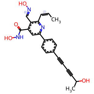 C/C=C\c1nc(-c2ccc(C#CC#CC(C)O)cc2)cc(C(=O)NO)c1/C=N/O